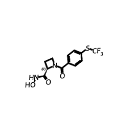 O=C(NO)[C@H]1CCN1C(=O)c1ccc(SC(F)(F)F)cc1